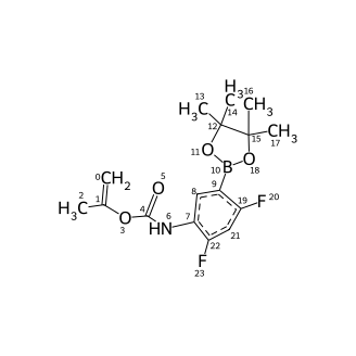 C=C(C)OC(=O)Nc1cc(B2OC(C)(C)C(C)(C)O2)c(F)cc1F